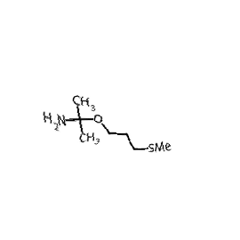 CSCCCOC(C)(C)N